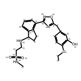 CCOc1ccc(Cc2nc(-c3cccc4c3CCC4NCCS(=O)(=O)NC)no2)cc1O